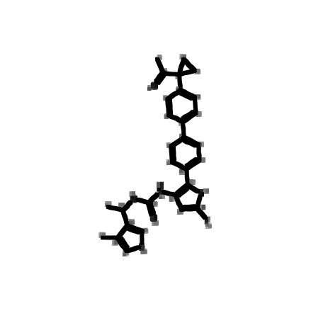 CC(=O)C1(c2ccc(-c3ccc(-c4sc(F)cc4NC(=O)OC(C)c4cscc4C)cc3)cc2)CC1